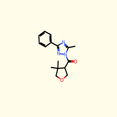 Cc1nc(-c2ccccc2)nn1C(=O)C1COCC1(C)C